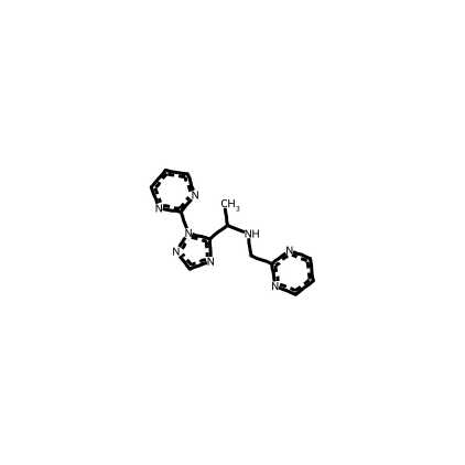 CC(NCc1ncccn1)c1ncnn1-c1ncccn1